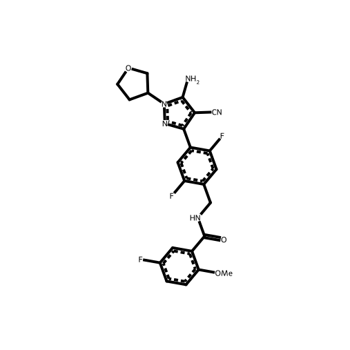 COc1ccc(F)cc1C(=O)NCc1cc(F)c(-c2nn(C3CCOC3)c(N)c2C#N)cc1F